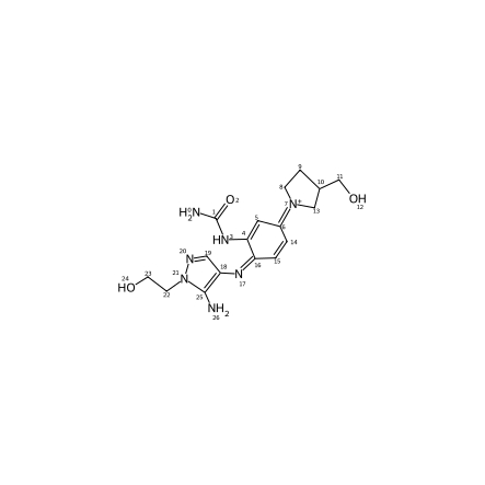 NC(=O)NC1=CC(=[N+]2\CCC(CO)C2)/C=CC/1=N/c1cnn(CCO)c1N